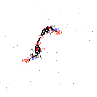 C[C@H](CCC(=O)NCCS(=O)(=O)O)[C@H]1CC[C@H]2[C@@H]3[C@H](O)CC4C[C@H](OC(=O)CCCC(=O)O[C@H]5CC[C@]6(C)C(C5)C[C@@H](O)[C@@H]5[C@H]7CC[C@@H]([C@@H](C)CCC(=O)NCCS(=O)(=O)O)[C@]7(C)CC[C@H]56)CC[C@]4(C)[C@H]3CC[C@]12C